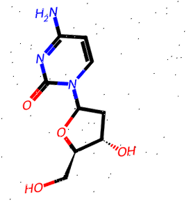 Nc1ccn([C]2C[C@H](O)[C@@H](CO)O2)c(=O)n1